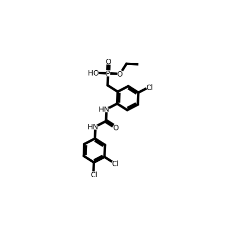 CCOP(=O)(O)Cc1cc(Cl)ccc1NC(=O)Nc1ccc(Cl)c(Cl)c1